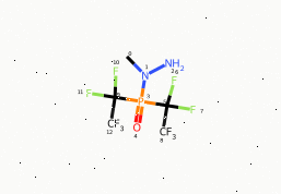 CN(N)P(=O)(C(F)(F)C(F)(F)F)C(F)(F)C(F)(F)F